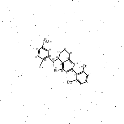 CCc1cccc(CC)c1-c1cc(CC)c2c(n1)CCCC2Nc1cc(OC)ccc1C